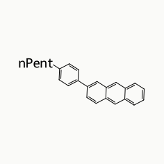 CCCCCc1ccc(-c2ccc3cc4ccccc4cc3c2)cc1